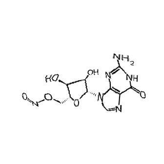 Nc1nc2c(ncn2[C@@H]2O[C@H](CON=O)[C@@H](O)[C@H]2O)c(=O)[nH]1